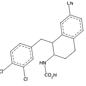 N#Cc1ccc2c(c1)C(Cc1ccc(Cl)c(Cl)c1)C(NC(=O)O)CC2